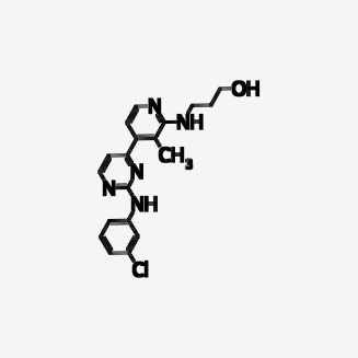 Cc1c(-c2ccnc(Nc3cccc(Cl)c3)n2)ccnc1NCCCO